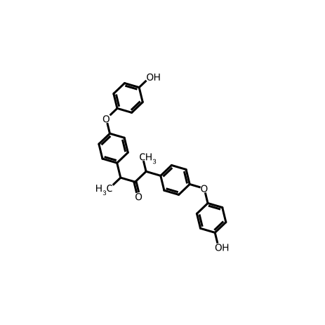 CC(C(=O)C(C)c1ccc(Oc2ccc(O)cc2)cc1)c1ccc(Oc2ccc(O)cc2)cc1